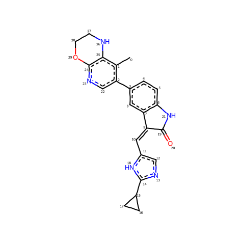 Cc1c(-c2ccc3c(c2)C(=Cc2cnc(C4CC4)[nH]2)C(=O)N3)cnc2c1NCCO2